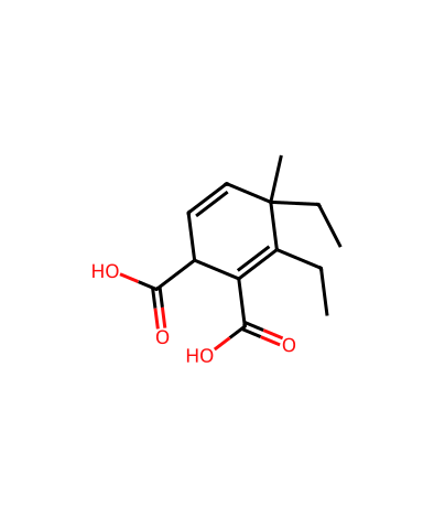 CCC1=C(C(=O)O)C(C(=O)O)C=CC1(C)CC